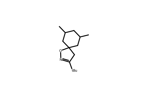 CC1CC(C)CC2(CC(C(C)(C)C)=NO2)C1